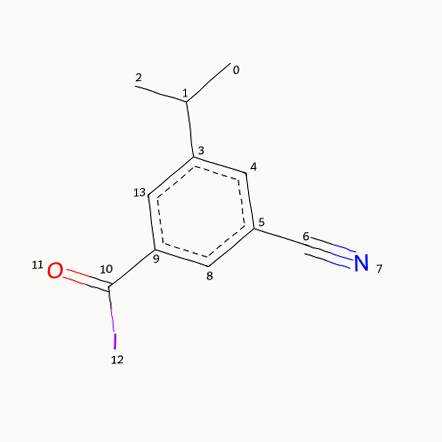 CC(C)c1cc(C#N)cc(C(=O)I)c1